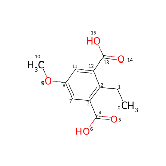 CCc1c(C(=O)O)cc(OC)cc1C(=O)O